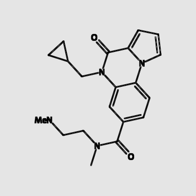 CNCCN(C)C(=O)c1ccc2c(c1)n(CC1CC1)c(=O)c1cccn12